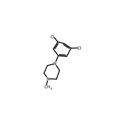 CN1CCN(c2cc(Cl)cc(Cl)c2)CC1